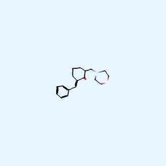 O=C1C(=Cc2ccccc2)CCCC1CN1CCOCC1